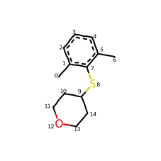 Cc1cccc(C)c1SC1CCOCC1